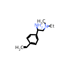 C=Cc1ccc(C(N)CN(C)CC)cc1